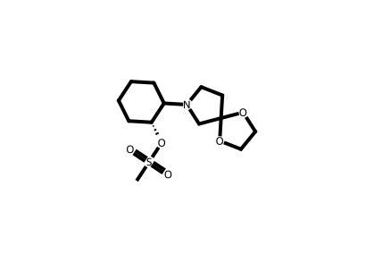 CS(=O)(=O)O[C@@H]1CCCCC1N1CCC2(C1)OCCO2